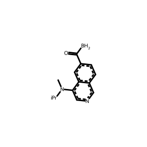 BC(=O)c1ccc2cncc(N(C)C(C)C)c2c1